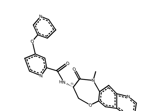 CN1C(=O)[C@@H](NC(=O)c2cc(Oc3cccnc3)ccn2)COc2cc3nccnc3cc21